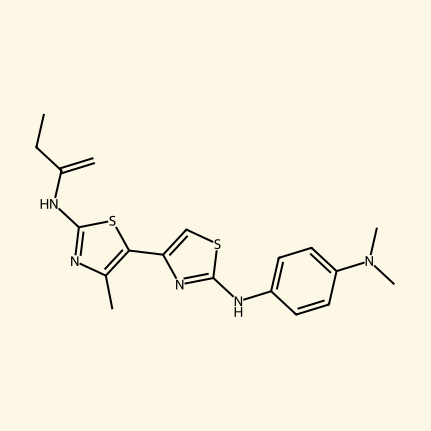 C=C(CC)Nc1nc(C)c(-c2csc(Nc3ccc(N(C)C)cc3)n2)s1